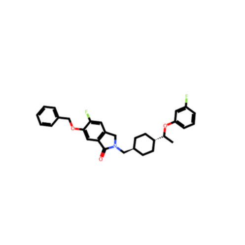 CC(Oc1cccc(F)c1)[C@H]1CC[C@H](CN2Cc3cc(F)c(OCc4ccccc4)cc3C2=O)CC1